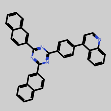 c1ccc2cc(-c3nc(-c4ccc(-c5ccnc6ccccc56)cc4)nc(-c4ccc5ccccc5c4)n3)ccc2c1